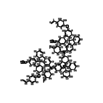 C=CC1=CC=C(OC2=CCC(C3(C4C=CC(C(C)(C)C)=CC4)C4C=CC=CC4C4C=CC(N(C5=CC=C(F)CC5)C5=CC6c7cc(N(C8=CC9C(C=C8)C8C=CC=CC8C9(C8=CCC(Oc9ccc(C=C)cc9)C=C8)C8=CC=C(C(C)(C)C)CC8)C8=CC=C(F)CC8)ccc7[Si](C7=CC=CCC7)(C7CC=CCC7)C6CC5)=CC43)C=C2)CC1